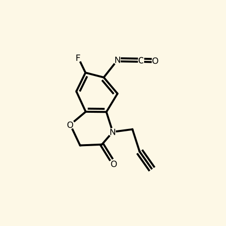 C#CCN1C(=O)COc2cc(F)c(N=C=O)cc21